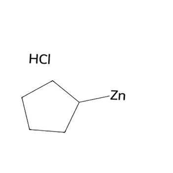 Cl.[Zn][CH]1CCCC1